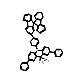 CC1(C)C2=CC(c3ccccc3)CC=C2N(C2=CC=C(c3ccc4c(c3)C3(C5=C(CCC=C5)c5ccccc53)c3ccccc3-4)CC2)c2ccc(-c3ccccc3)cc21